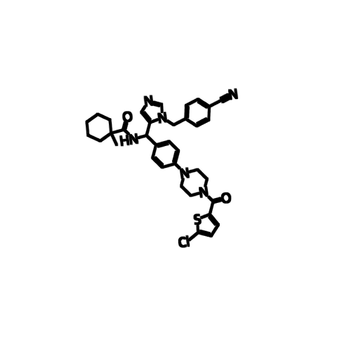 CC1(C(=O)NC(c2ccc(N3CCN(C(=O)c4ccc(Cl)s4)CC3)cc2)c2cncn2Cc2ccc(C#N)cc2)CCCCC1